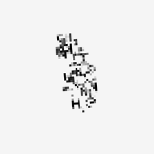 CSc1ncc2c(n1)N1CCC[C@H]1CN(c1cccc(-c3noc(C)n3)c1)C2=O